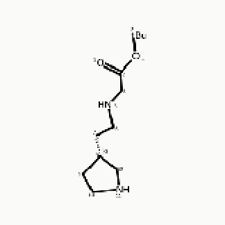 CC(C)(C)OC(=O)CNCC[C@H]1CCNC1